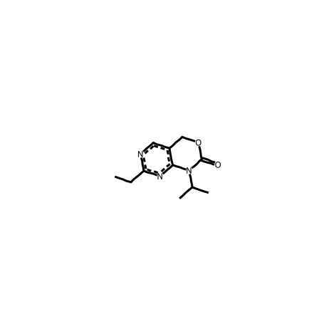 CCc1ncc2c(n1)N(C(C)C)C(=O)OC2